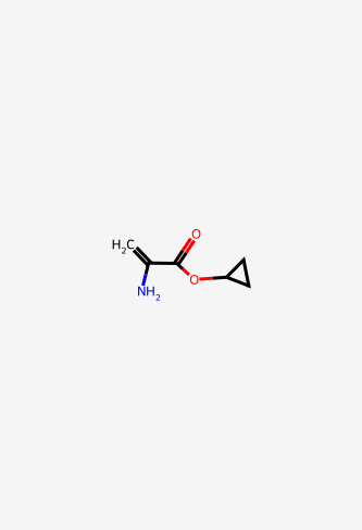 C=C(N)C(=O)OC1CC1